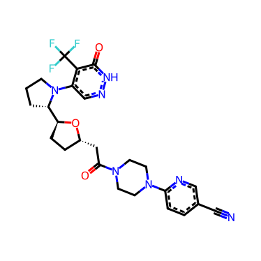 N#Cc1ccc(N2CCN(C(=O)C[C@@H]3CC[C@@H]([C@@H]4CCCN4c4cn[nH]c(=O)c4C(F)(F)F)O3)CC2)nc1